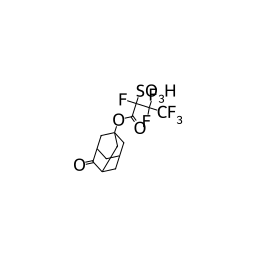 O=C1C2CC3CC1CC(OC(=O)C(F)(C(F)(F)C(F)(F)F)S(=O)(=O)O)(C3)C2